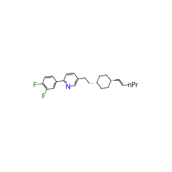 CCC/C=C/[C@H]1CC[C@H](CCc2ccc(-c3ccc(F)c(F)c3)nc2)CC1